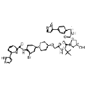 C[C@H](NC(=O)[C@@H]1C[C@@H](O)CN1C(=O)[C@@H](NC(=O)COC1CCN(c2ccc(NC(=O)c3cccc(-c4ccn[nH]4)n3)c(Br)c2)CC1)C(C)(C)C)c1ccc(-c2ccnn2C)cc1